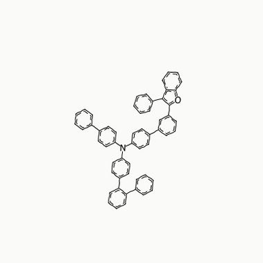 c1ccc(-c2ccc(N(c3ccc(-c4cccc(-c5oc6ccccc6c5-c5ccccc5)c4)cc3)c3ccc(-c4ccccc4-c4ccccc4)cc3)cc2)cc1